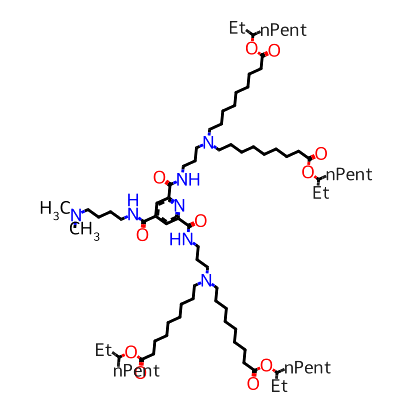 CCCCCC(CC)OC(=O)CCCCCCCCN(CCCCCCCCC(=O)OC(CC)CCCCC)CCCNC(=O)c1cc(C(=O)NCCCCN(C)C)cc(C(=O)NCCCN(CCCCCCCCC(=O)OC(CC)CCCCC)CCCCCCCCC(=O)OC(CC)CCCCC)n1